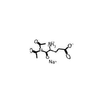 CC(=O)N(C(C)=O)C(=O)[C@@H](N)CCC(=O)[O-].[Na+]